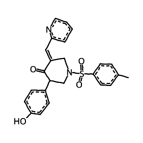 Cc1ccc(S(=O)(=O)N2CC(=Cc3ccccn3)C(=O)C(c3ccc(O)cc3)C2)cc1